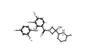 CC1CCCC(C2(O)CN(C(=O)c3ccc(F)c(F)c3Nc3ccc(I)cc3F)C2)N1